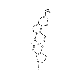 CC1=Cc2cc(F)ccc2OC12C=Cc1c(ccc3cc([N+](=O)[O-])ccc13)O2